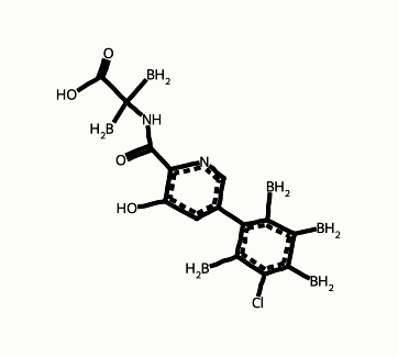 Bc1c(B)c(Cl)c(B)c(-c2cnc(C(=O)NC(B)(B)C(=O)O)c(O)c2)c1B